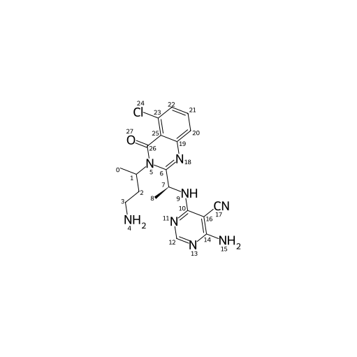 CC(CCN)n1c([C@H](C)Nc2ncnc(N)c2C#N)nc2cccc(Cl)c2c1=O